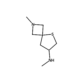 CNC1CSC2(C1)CN(C)C2